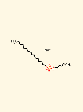 CCCCCCCCCCCCCCCCOP(=O)([O-])OCCCCCC.[Na+]